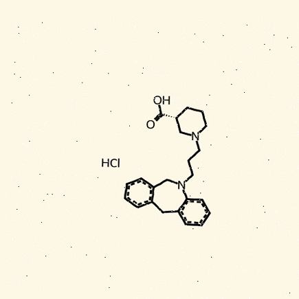 Cl.O=C(O)[C@@H]1CCCN(CCCN2Cc3ccccc3Cc3ccccc32)C1